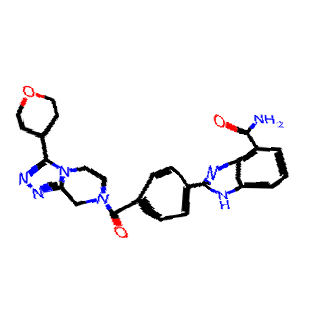 NC(=O)c1cccc2[nH]c(-c3ccc(C(=O)N4CCn5c(nnc5C5CCOCC5)C4)cc3)nc12